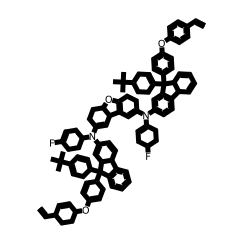 C=Cc1ccc(Oc2ccc(C3(C4=CCC(C(C)(C)C)CC4)c4cc(N(C5=CC6=C(CC5)OC5CCC(N(C7=CC8C(C=C7)c7ccccc7C8(C7C=CC(OC8C=CC(C=C)CC8)=CC7)C7C=CC(C(C)(C)C)=CC7)C7CC=C(F)CC7)=CC65)C5=CCC(F)CC5)ccc4C4C=CC=CC43)cc2)cc1